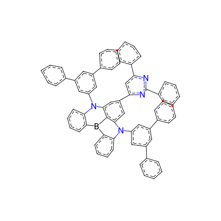 c1ccc(-c2cc(-c3ccccc3)cc(N3c4ccccc4B4c5ccccc5N(c5cc(-c6ccccc6)cc(-c6ccccc6)c5)c5cc(-c6cc(-c7ccccc7)nc(-c7ccccc7)n6)cc3c54)c2)cc1